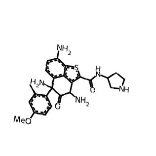 COc1ccc(C2(N)C(=O)C(N)c3c(C(=O)NC4CCNC4)sc4c(N)ccc2c34)c(C)c1